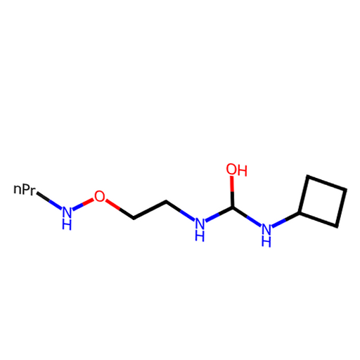 CCCNOCCNC(O)NC1CCC1